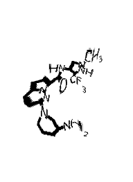 CN1C=C(NC(=O)c2ccc3ccc(N4CCCC(N)C4)nn23)C(C(F)(F)F)N1